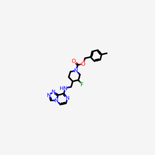 Cc1ccc(COC(=O)N2CCC(CNc3nccn4cnnc34)C(F)C2)cc1